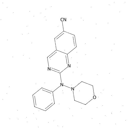 N#Cc1ccc2nc(N(c3ccccc3)N3CCOCC3)ncc2c1